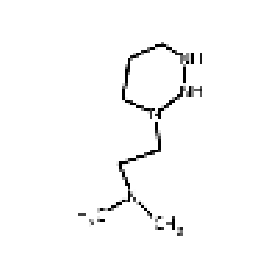 CN(C)CCN1CCCNN1